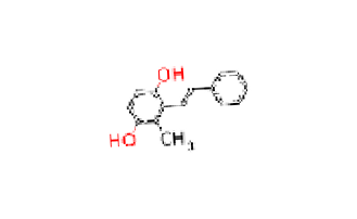 Cc1c(O)ccc(O)c1C=Cc1ccccc1